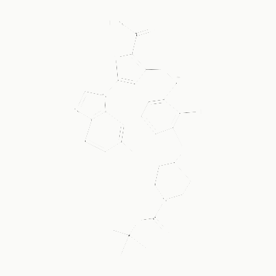 C[C@@H](Oc1cc(-n2cnc3ccc(Cl)cc32)sc1C(N)=O)c1cccc(OC2CCN(C(=O)OC(C)(C)C)CC2)c1Cl